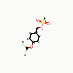 CS(=O)(=O)OCC1CCC(OC(F)F)CC1